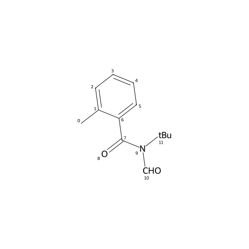 Cc1ccccc1C(=O)N(C=O)C(C)(C)C